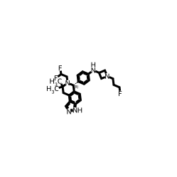 CC1(C)Cc2c(ccc3[nH]ncc23)[C@@H](c2ccc(NC3CN(CCCF)C3)cc2)N1CC(F)F